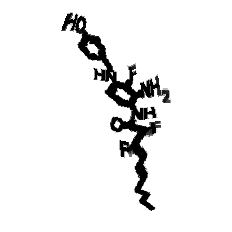 CCCCCCC[C@H](F)[C@@H](F)C(=O)Nc1ccc(NCc2ccc(O)cc2)c(F)c1N